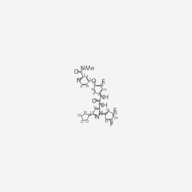 CNC(=O)c1cc(Oc2ccc(NC(=O)Nc3cc(C4CCCC4)nn3-c3cc(F)cc(F)c3)cc2F)ccn1